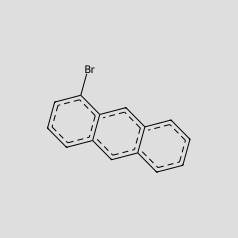 Brc1cccc2cc3ccccc3cc12